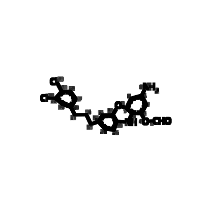 Nc1cc(OC=O)c2c(c1)Oc1cc(CCCc3ccc(Cl)c(Cl)c3)ccc1N2